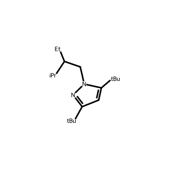 CCC(Cn1nc(C(C)(C)C)cc1C(C)(C)C)C(C)C